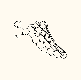 CN1CC23CC4CC5C=C6Cc7cc8c9c%10c%11c%12c%13c(c%14c2c4c2c(c4c(c6c7c9c4%11)C25)c%14%12)C(=CC2CC(C8)C%10C=%132)C3C1c1cccs1